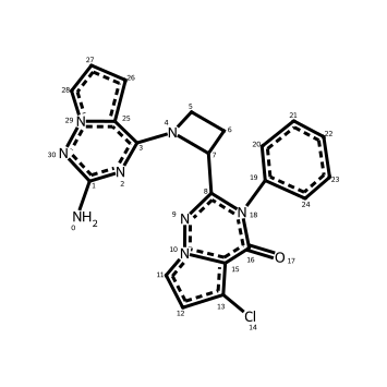 Nc1nc(N2CCC2c2nn3ccc(Cl)c3c(=O)n2-c2ccccc2)c2cccn2n1